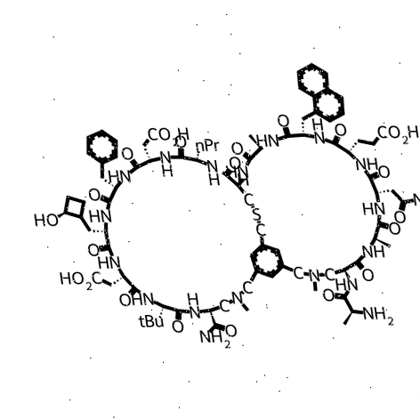 CCC[C@@H]1NC(=O)[C@H]2CSCc3cc(cc(c3)CN(C)C[C@H](NC(=O)[C@H](C)N)C(=O)N[C@H](C)C(=O)N[C@@H](CC(N)=O)C(=O)N[C@@H](CCC(=O)O)C(=O)N[C@@H](Cc3cccc4ccccc34)C(=O)N[C@H](C)C(=O)N2)CN(C)C[C@@H](C(N)=O)NC(=O)[C@H](C(C)(C)C)NC(=O)[C@H](CC(=O)O)NC(=O)[C@H](CC2CC[C@@H]2O)NC(=O)[C@H](Cc2ccccc2)NC(=O)[C@H](CC(=O)O)NC1=O